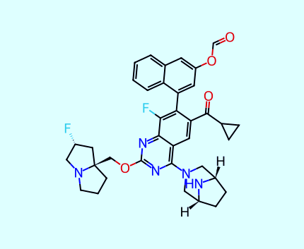 O=COc1cc(-c2c(C(=O)C3CC3)cc3c(N4C[C@H]5CC[C@@H](C4)N5)nc(OC[C@@]45CCCN4C[C@H](F)C5)nc3c2F)c2ccccc2c1